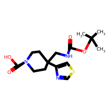 CC(C)(C)OC(=O)NCC1(c2cscn2)CCN(C(=O)O)CC1